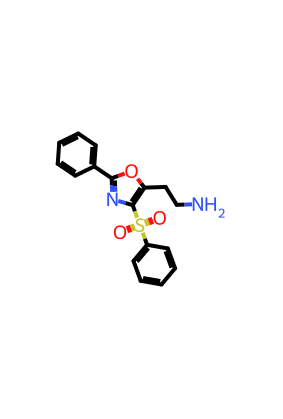 NCCc1oc(-c2ccccc2)nc1S(=O)(=O)c1ccccc1